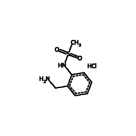 CS(=O)(=O)Nc1ccccc1CN.Cl